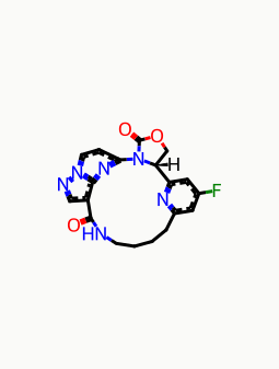 O=C1NCCCCc2cc(F)cc(n2)[C@H]2COC(=O)N2c2ccn3ncc1c3n2